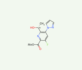 COC(=O)c1nc([C@@H](C)O)c(-n2cccn2)cc1F